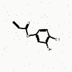 C=CC(=O)Oc1ccc(O)c(O)c1